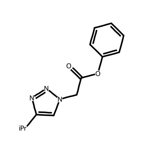 CC(C)c1cn(CC(=O)Oc2ccccc2)nn1